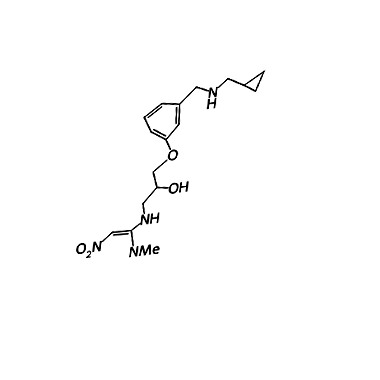 CNC(=C[N+](=O)[O-])NCC(O)COc1cccc(CNCC2CC2)c1